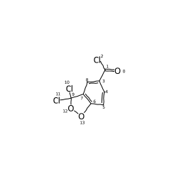 O=C(Cl)c1ccc2c(c1)C(Cl)(Cl)OO2